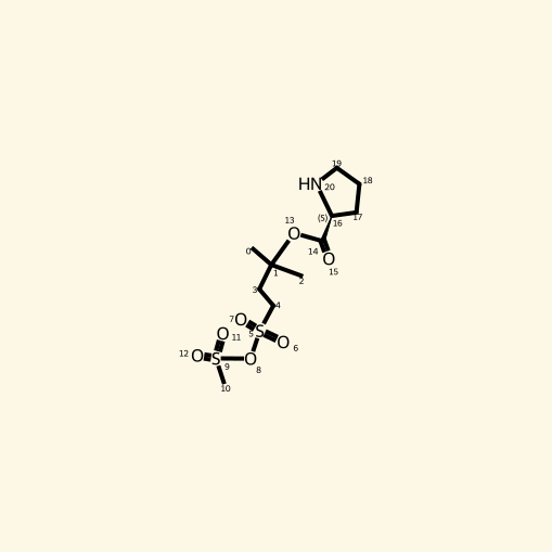 CC(C)(CCS(=O)(=O)OS(C)(=O)=O)OC(=O)[C@@H]1CCCN1